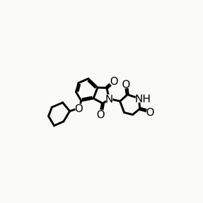 O=C1CCC(N2C(=O)c3cccc(OC4CCCCC4)c3C2=O)C(=O)N1